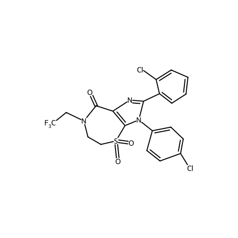 O=C1c2nc(-c3ccccc3Cl)n(-c3ccc(Cl)cc3)c2S(=O)(=O)CCN1CC(F)(F)F